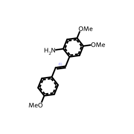 COc1ccc(/C=C/c2cc(OC)c(OC)cc2N)cc1